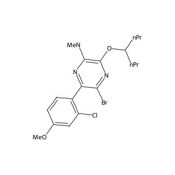 CCCC(CCC)Oc1nc(Br)c(-c2ccc(OC)cc2Cl)nc1NC